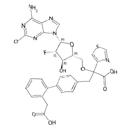 Nc1nc(Cl)nc2c1ncn2[C@@H]1O[C@H](COC(Cc2ccc(-c3ccccc3CC(=O)O)cc2)(C(=O)O)c2cscn2)[C@@H](O)[C@@H]1F